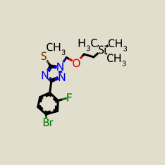 CSc1nc(-c2ccc(Br)cc2F)nn1COCC[Si](C)(C)C